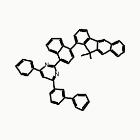 CC1(C)c2cc3ccccc3cc2-c2cccc(-c3ccc(-c4nc(-c5ccccc5)cc(-c5cccc(-c6ccccc6)c5)n4)c4ccccc34)c21